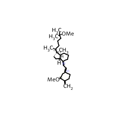 C=C1CC/C(=C/C=C2\CCC[C@]3(C)[C@@H]([C@@H](C)CCCC(C)(C)OC)CC[C@@H]23)C[C@H]1OC